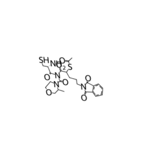 CC(=O)SC(CCCN1C(=O)c2ccccc2C1=O)C(=O)N(C(=O)[C@@H](N)CS)C(=O)N1CCOCC1C